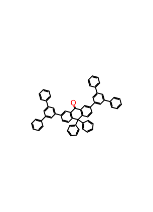 O=C1c2cc(-c3cc(-c4ccccc4)cc(-c4ccccc4)c3)ccc2C(c2ccccc2)(c2ccccc2)c2ccc(-c3cc(-c4ccccc4)cc(-c4ccccc4)c3)cc21